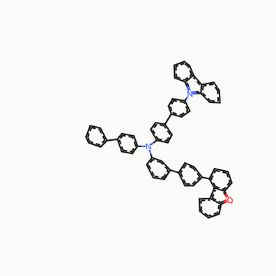 c1ccc(-c2ccc(N(c3ccc(-c4ccc(-n5c6ccccc6c6ccccc65)cc4)cc3)c3cccc(-c4ccc(-c5cccc6oc7ccccc7c56)cc4)c3)cc2)cc1